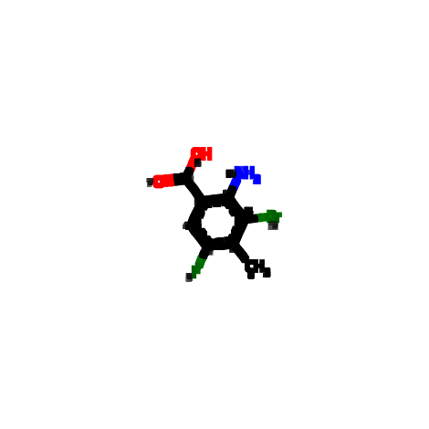 Cc1c(F)cc(C(=O)O)c(N)c1Br